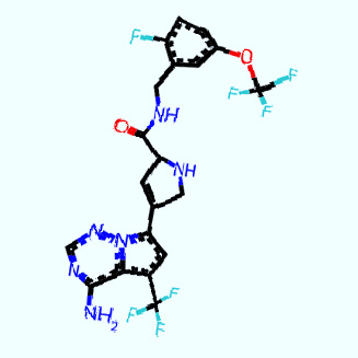 Nc1ncnn2c(C3=CC(C(=O)NCc4cc(OC(F)(F)F)ccc4F)NC3)cc(C(F)(F)F)c12